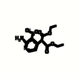 CCOC(=O)C(C(=O)OCC)c1ccnc(N)c1[N+](=O)[O-]